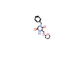 O=C1CN(Cc2ccccc2)C(=O)C(CO[C@@H]2CCCCO2)N1